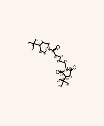 CC(C)(C)C1CCN(C(=O)CCCCN2C(=O)CC(C(C)(C)C)C2=O)CC1